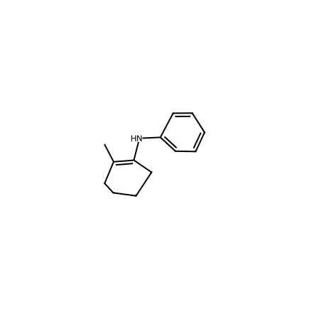 CC1=C(Nc2ccccc2)CCCC1